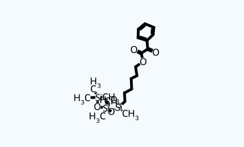 C[Si](C)(C)O[Si](C)(C)O[Si](C)(C)CCCCCCOC(=O)C(=O)c1ccccc1